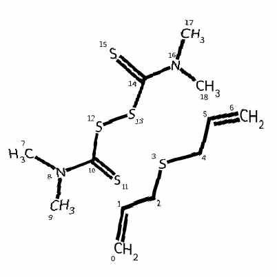 C=CCSCC=C.CN(C)C(=S)SSC(=S)N(C)C